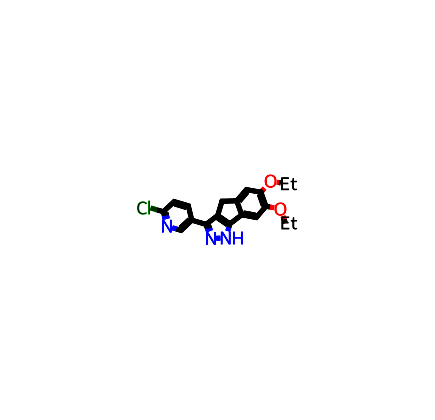 CCOc1cc2c(cc1OCC)-c1[nH]nc(-c3ccc(Cl)nc3)c1C2